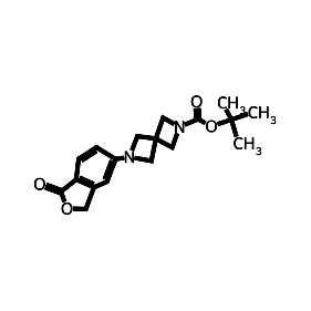 CC(C)(C)OC(=O)N1CC2(C1)CN(c1ccc3c(c1)COC3=O)C2